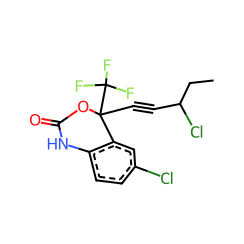 CCC(Cl)C#CC1(C(F)(F)F)OC(=O)Nc2ccc(Cl)cc21